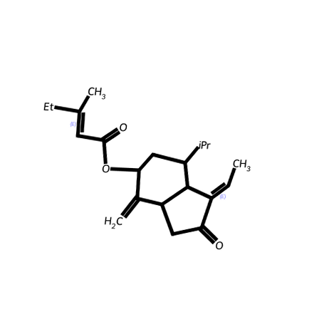 C=C1C(OC(=O)/C=C(\C)CC)CC(C(C)C)C2/C(=C\C)C(=O)CC12